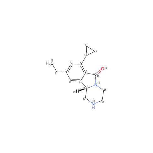 CCc1cc(C2CC2)c2c(c1)[C@H]1CNCCN1C2=O